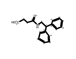 O=C(O)CCC(=O)NCC(c1ccccc1)c1ccccc1